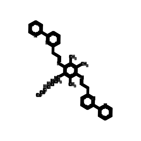 Cc1c(C)c(N=CCc2cccc(-c3ccccn3)n2)c(C)c(C)c1N=CCc1cccc(-c2ccccn2)n1.Cl.Cl.Cl.Cl.[Co].[Co]